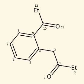 CCC(=O)Cc1ccccc1C(=O)CC